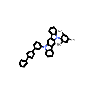 N#Cc1cc(C#N)c(-n2c3ccccc3c3cc4c(cc32)c2ccccc2n4-c2cccc(-c3ccc(-c4ccccc4)cc3)c2)c(C#N)c1